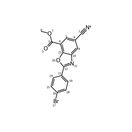 COC(=O)c1cc(C#N)cc2nc(-c3ccc(Br)cc3)oc12